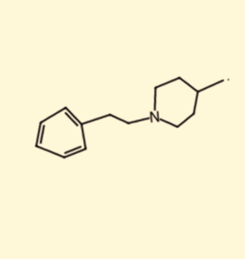 [CH2]C1CCN(CCc2ccccc2)CC1